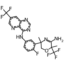 CC1(c2cc(Nc3ncnc4cc(C(F)(F)F)cnc34)ccc2F)COC(C)(C(F)(F)F)C(N)=N1